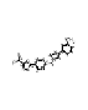 Cc1cccc(-c2cn(Cc3ccc(-c4nnc(C(F)F)o4)cn3)nn2)c1